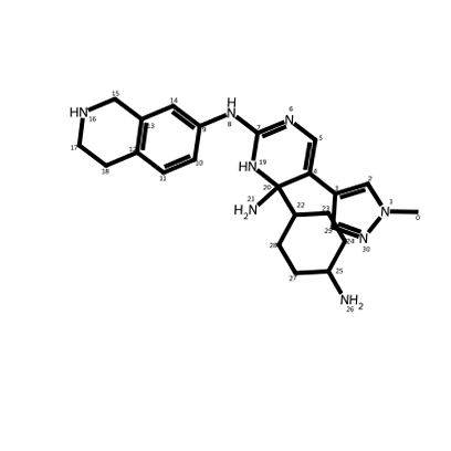 Cn1cc(C2=CN=C(Nc3ccc4c(c3)CNCC4)NC2(N)C2CCC(N)CC2)cn1